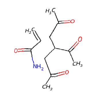 C=CC(N)=O.CC(=O)CC(CC(C)=O)C(C)=O